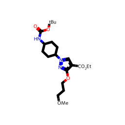 CCOC(=O)c1cn(C2CCC(NC(=O)OC(C)(C)C)CC2)nc1OCCCOC